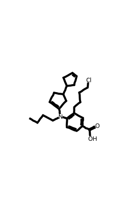 CCCCN(C1=CCC(C2CC=CC2)C1)c1ccc(C(=O)O)cc1CCCCCl